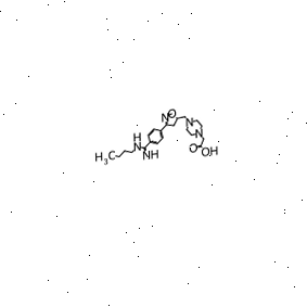 CCCCNC(=N)c1ccc(C2=NOC(CN3CCN(CC(=O)O)CC3)C2)cc1